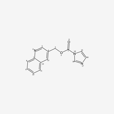 O=C(OCc1cnc2ccccc2c1)n1ccnc1